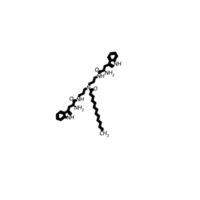 CCCCCCCCCCCCCC(=O)N(CCCNC(=O)[C@@H](N)Cc1c[nH]c2ccccc12)CCCNC(=O)[C@@H](N)Cc1c[nH]c2ccccc12